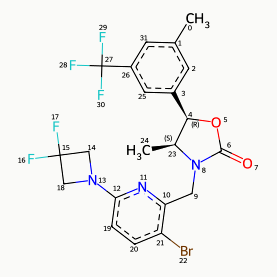 Cc1cc([C@H]2OC(=O)N(Cc3nc(N4CC(F)(F)C4)ccc3Br)[C@H]2C)cc(C(F)(F)F)c1